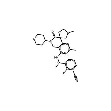 Cc1nc(N[C@H](C)c2cccc(C#N)c2F)c2c(n1)C1(CCN(C)C1)C(=O)N(C1CCOCC1)C2